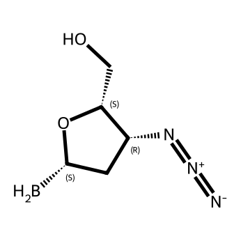 B[C@H]1C[C@@H](N=[N+]=[N-])[C@@H](CO)O1